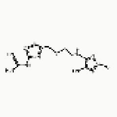 N=C(N)Nc1nc(CSCCNc2n[s+]([O-])nc2N)no1